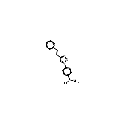 CC[C@H](N)c1ccc(-n2cc(CCc3ccccc3)nn2)cc1